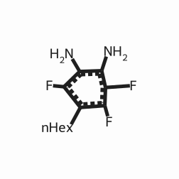 CCCCCCc1c(F)c(N)c(N)c(F)c1F